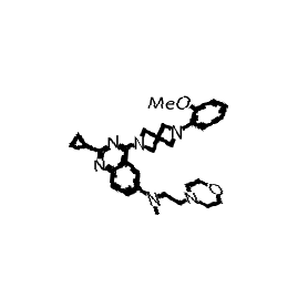 COc1ccccc1N1CC2(C1)CN(c1nc(C3CC3)nc3ccc(N(C)CCN4CCOCC4)cc13)C2